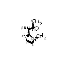 CC(=O)C(O)c1nccn1C